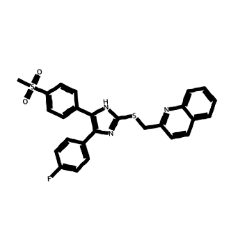 CS(=O)(=O)c1ccc(-c2[nH]c(SCc3ccc4ccccc4n3)nc2-c2ccc(F)cc2)cc1